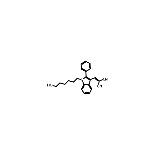 N#CC(C#N)=Cc1c(-c2ccccc2)n(CCCCCCO)c2ccccc12